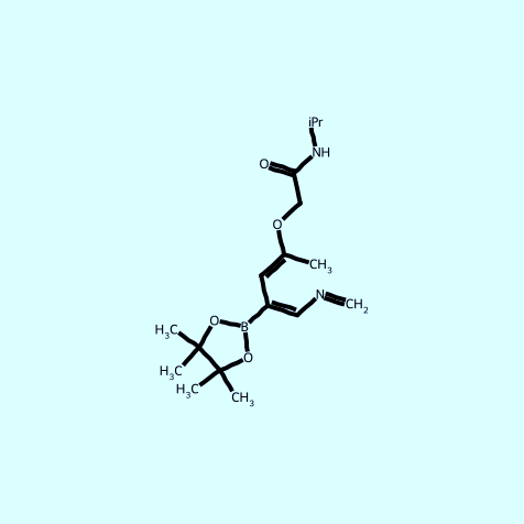 C=N/C=C(\C=C(/C)OCC(=O)NC(C)C)B1OC(C)(C)C(C)(C)O1